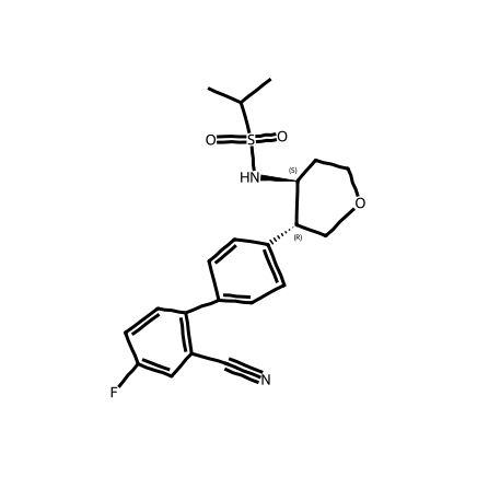 CC(C)S(=O)(=O)N[C@H]1CCOC[C@@H]1c1ccc(-c2ccc(F)cc2C#N)cc1